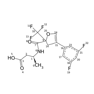 C[C@@H](CC(=O)O)NC(=O)C1(C(F)(F)F)CC(c2cc(F)cc(F)c2)=CO1